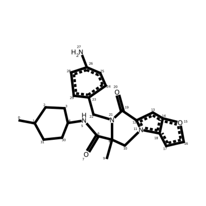 CC1CCC(NC(=O)C2(C)Cn3c(cc4occc43)C(=O)N2Cc2ccc(N)cc2)CC1